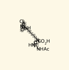 CC(=O)NCCc1c[nH]c2ccc(N(CCCCCCCCCCCCNc3c4c(nc5cc(Cl)ccc35)CCCC4)C(=O)O)cc12